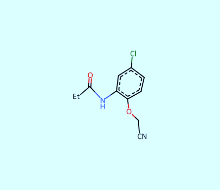 CCC(=O)Nc1cc(Cl)ccc1OCC#N